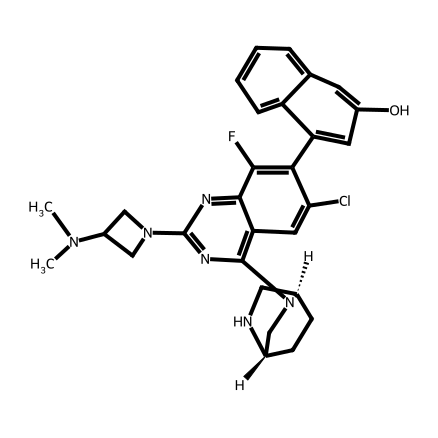 CN(C)C1CN(c2nc(N3C[C@@H]4CC[C@@H]3CN4)c3cc(Cl)c(-c4cc(O)cc5ccccc45)c(F)c3n2)C1